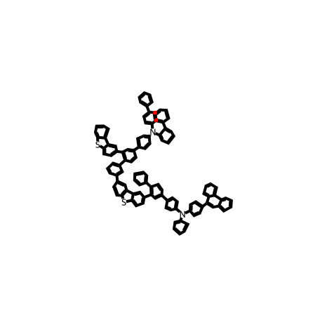 c1ccc(-c2ccc(N(c3ccc(-c4ccc(-c5cccc(-c6ccc7sc8ccc(-c9cc(-c%10ccc(N(c%11ccccc%11)c%11ccc(-c%12cc%13ccccc%13c%13ccccc%12%13)cc%11)cc%10)ccc9-c9ccccc9)cc8c7c6)c5)c(-c5ccc6sc7ccccc7c6c5)c4)cc3)c3ccccc3-c3ccccc3)cc2)cc1